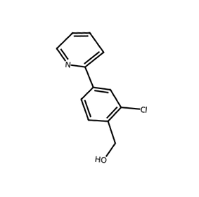 OCc1ccc(-c2ccccn2)cc1Cl